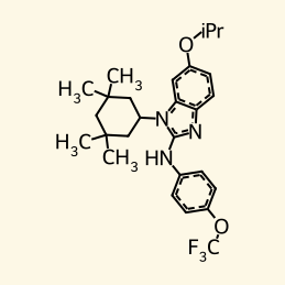 CC(C)Oc1ccc2nc(Nc3ccc(OC(F)(F)F)cc3)n(C3CC(C)(C)CC(C)(C)C3)c2c1